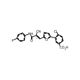 N#C/C(=C\c1ccc(-c2cc(C(=O)O)ccc2Cl)o1)C(=O)Nc1ccc(F)cc1